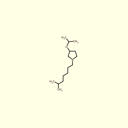 CC(C)CCCCCN1CCC(OC(C)C)C1